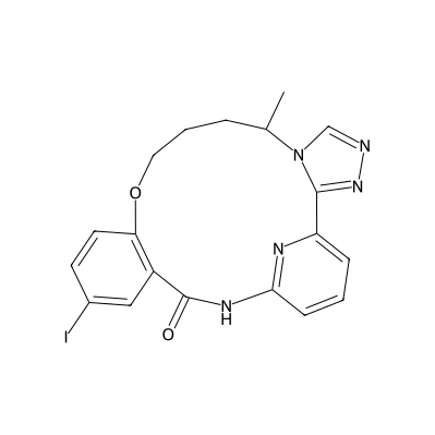 CC1CCCOc2ccc(I)cc2C(=O)Nc2cccc(n2)-c2nncn21